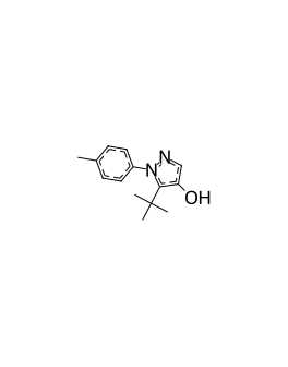 Cc1ccc(-n2ncc(O)c2C(C)(C)C)cc1